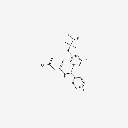 CC(=O)CC(=O)N[C@H](c1ccc(F)cc1)c1cc(F)cc(OC(F)(F)C(F)F)c1